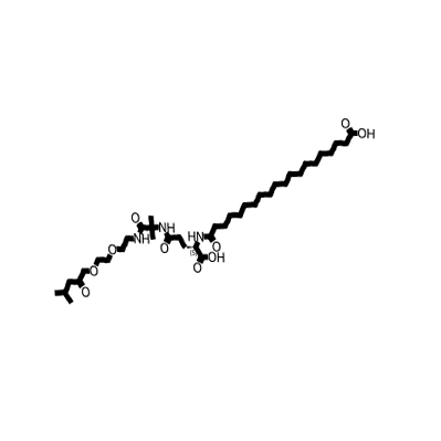 CC(C)CC(=O)COCCOCCNC(=O)C(C)(C)NC(=O)CC[C@H](NC(=O)CCCCCCCCCCCCCCCCCCC(=O)O)C(=O)O